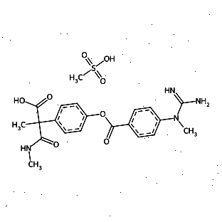 CNC(=O)C(C)(C(=O)O)c1ccc(OC(=O)c2ccc(N(C)C(=N)N)cc2)cc1.CS(=O)(=O)O